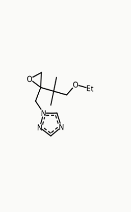 CCOCC(C)(C)C1(Cn2cncn2)CO1